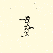 COC(=O)c1ccc(NC(=O)c2ccc([N+](=O)[O-])c(OC)n2)c(OC)n1